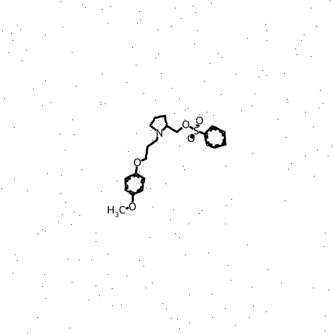 COc1ccc(OCCCN2CCCC2COS(=O)(=O)c2ccccc2)cc1